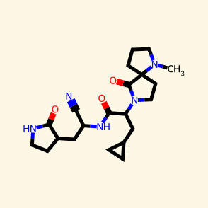 CN1CCCC12CCN(C(CC1CC1)C(=O)NC(C#N)CC1CCNC1=O)C2=O